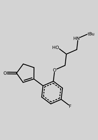 CC(C)(C)NCC(O)COc1cc(F)ccc1C1=CC(=O)CC1